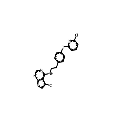 Clc1cccc(Oc2ccc(CCNc3ncnc4scc(Cl)c34)cc2)n1